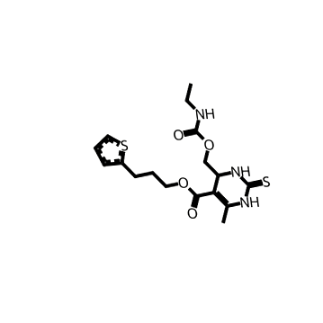 CCNC(=O)OCC1NC(=S)NC(C)=C1C(=O)OCCCc1cccs1